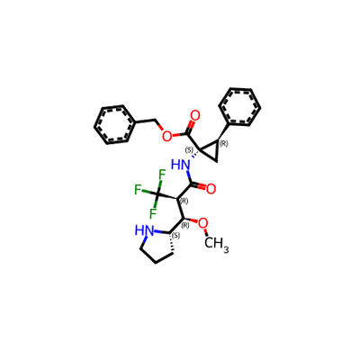 CO[C@@H]([C@@H]1CCCN1)[C@H](C(=O)N[C@@]1(C(=O)OCc2ccccc2)C[C@@H]1c1ccccc1)C(F)(F)F